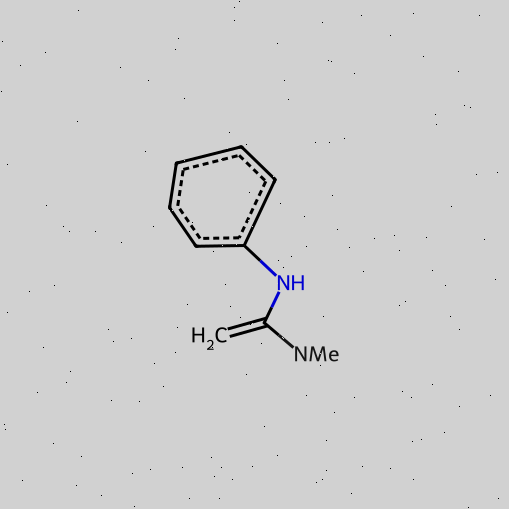 C=C(NC)Nc1ccccc1